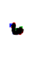 CC(C)[C@@H](CS(=O)(=O)C(C)C)N1C(=O)[C@@](C)(CC(=O)N2CCC(CC3CCN(CC4CCN(c5ccc(C6CCC(=O)NC6=O)cn5)CC4)CC3)CC2)C[C@H](c2cccc(Cl)c2)[C@H]1c1ccc(Cl)cc1